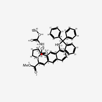 COC(=O)C(=Cc1cc2ccnc(NC(c3ccccc3)(c3ccccc3)c3ccccc3)c2cc1OC(F)(F)F)N1CC[C@H](NC(=O)OC(C)(C)C)C1=O